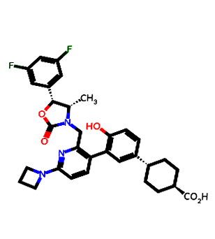 C[C@H]1[C@@H](c2cc(F)cc(F)c2)OC(=O)N1Cc1nc(N2CCC2)ccc1-c1cc([C@H]2CC[C@H](C(=O)O)CC2)ccc1O